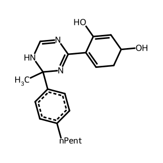 CCCCCc1ccc(C2(C)N=C(C3=CCC(O)C=C3O)N=CN2)cc1